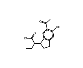 CCC(C(=O)O)C1CCc2cc(O)c(C(C)=O)cc21